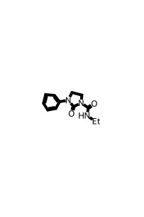 CCNC(=O)N1CCN(c2ccccc2)C1=O